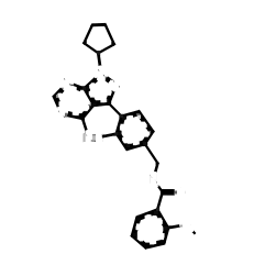 COc1ccccc1C(=O)NCc1ccc(-c2nn(C3CCCC3)c3ncnc(N)c23)c(C)c1